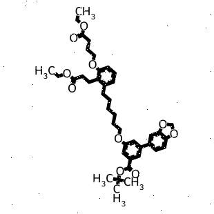 CCOC(=O)CCCOc1cccc(CCCCCCOc2cc(C(=O)OC(C)(C)C)cc(-c3ccc4c(c3)OCO4)c2)c1CCC(=O)OCC